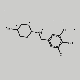 Oc1c(Cl)cc(CNC2CCC(O)CC2)cc1Cl